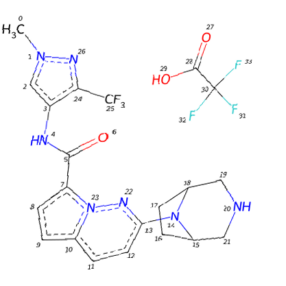 Cn1cc(NC(=O)c2ccc3ccc(N4C5CCC4CNC5)nn23)c(C(F)(F)F)n1.O=C(O)C(F)(F)F